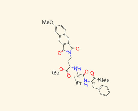 CNC(=O)[C@H](Cc1ccccc1)NC(=O)[C@H](CC(C)C)NC(CCN1C(=O)c2cc3ccc(OC)cc3cc2C1=O)C(=O)OC(C)(C)C